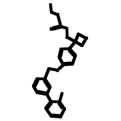 CCOC(=O)COC1(c2ccc(OCc3cccc(-c4cccnc4C)c3)cc2)COC1